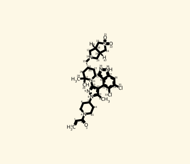 C=CC(=O)N1CCC(n2nc(N3CC[C@@H](CN4C[C@@H]5CS(=O)(=O)C[C@@H]5C4)CC3(C)C)c(-c3c(Cl)c(Cl)cc4[nH]ncc34)c2C)CC1